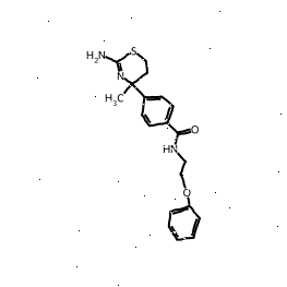 CC1(c2ccc(C(=O)NCCOc3ccccc3)cc2)CCSC(N)=N1